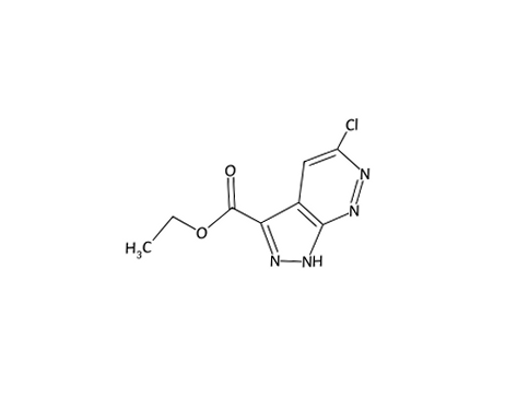 CCOC(=O)c1n[nH]c2nnc(Cl)cc12